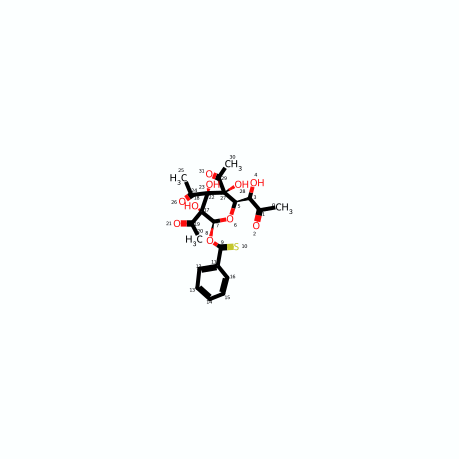 CC(=O)C(O)[C@H]1O[C@@H](OC(=S)c2ccccc2)[C@@](O)(C(C)=O)[C@](O)(C(C)=O)[C@]1(O)C(C)=O